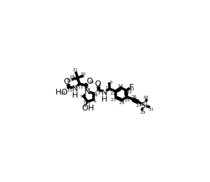 CC(NC(=O)[C@@H]1C[C@@H](O)CN1C(=O)C(NC(=O)O)C(C)(C)C)c1ccc(C#C[Si](C)(C)C)c(F)c1